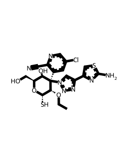 CCO[C@@H]1[C@H](S)O[C@@H](CO)[C@@H](O)[C@@]1(c1cc(Cl)cnc1C#N)n1cc(-c2csc(N)n2)nn1